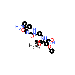 C[SiH2]OC(O[SiH2]C)C(C)(C)[C@H](CNCC1CCCC(CNC(=O)CCN2CC[C@@H](C(C(N)=O)(c3ccccc3)c3ccccc3)C2)C1)c1ccc(OCc2ccccc2)c2[nH]c(=O)ccc12